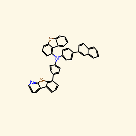 c1ccc2cc(-c3ccc(N(c4ccc(-c5cccc6c5sc5ncccc56)cc4)c4cccc5sc6ccccc6c45)cc3)ccc2c1